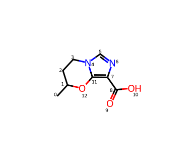 CC1CCn2cnc(C(=O)O)c2O1